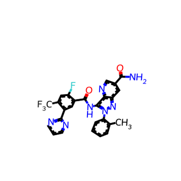 Cc1ccccc1-n1nc2cc(C(N)=O)cnc2c1NC(=O)c1cc(-c2ncccn2)c(C(F)(F)F)cc1F